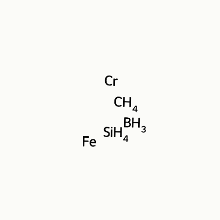 B.C.[Cr].[Fe].[SiH4]